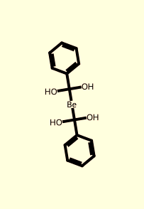 O[C](O)([Be][C](O)(O)c1ccccc1)c1ccccc1